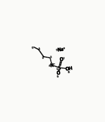 CCCC[N-]S(=O)(=O)O.[Na+]